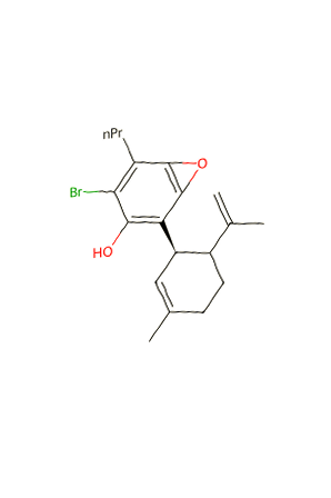 C=C(C)C1CCC(C)=C[C@H]1c1c(O)c(Br)c(CCC)c2c1O2